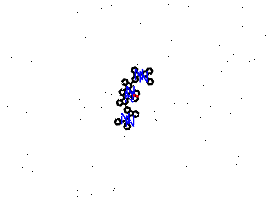 C1=CC2c3cc(-c4cc5c(c6ccccc46)-c4cccc6c4B(N5c4ccccc4)N(c4ccccc4)c4cc(-c5ccc7c(c5)c5ccccc5n7-c5cc7ccccc7c(-c7ccccc7)n5)c5ccccc5c4-6)ccc3C(c3nc(-c4ccccc4)c4ccccc4n3)C2C=C1